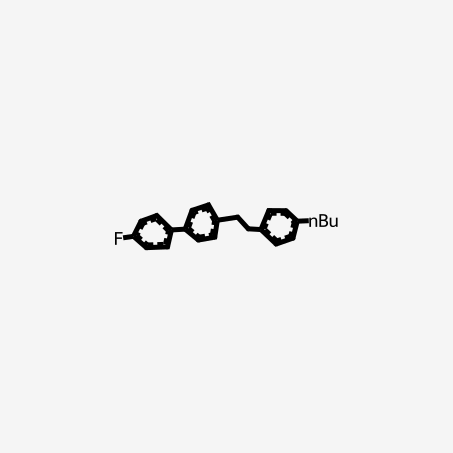 CCCCc1ccc(CCc2ccc(-c3ccc(F)cc3)cc2)cc1